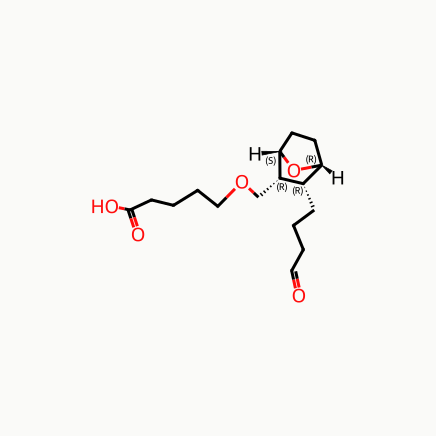 O=CCCC[C@@H]1[C@H](COCCCCC(=O)O)[C@@H]2CC[C@H]1O2